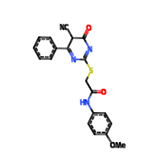 COc1ccc(NC(=O)CSC2=NC(=O)C(C#N)C(c3ccccc3)=N2)cc1